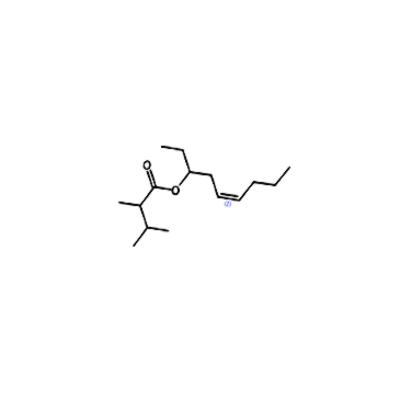 CCC/C=C\CC(CC)OC(=O)C(C)C(C)C